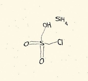 O=S(=O)(O)Cl.[SiH4]